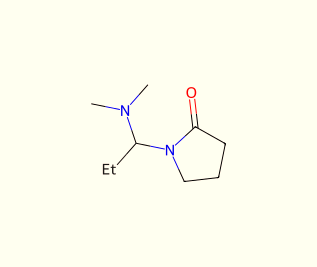 CCC(N(C)C)N1CCCC1=O